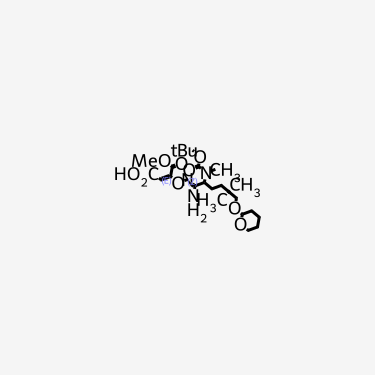 COC(=O)/C(=C\C(=O)O)O/N=C(\N)C(CCC(C)(C)COC1CCCCO1)N(C)C(=O)OC(C)(C)C